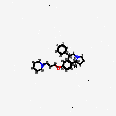 c1ccc([C@H]2CN3CCC[C@H]3c3ccc(OCCCN4CCCCC4)cc32)cc1